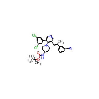 CC(=Cc1cncc(-c2cc(Cl)cc(Cl)c2)c1N1CCC(NC(=O)OC(C)(C)C)CC1)c1cccc(C#N)c1